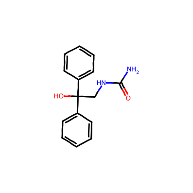 NC(=O)NCC(O)(c1ccccc1)c1ccccc1